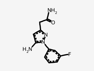 NC(=O)Cc1cc(N)n(-c2cccc(F)c2)n1